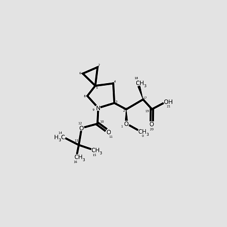 CO[C@@H](C1CC2(CC2)CN1C(=O)OC(C)(C)C)[C@@H](C)C(=O)O